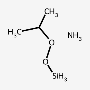 CC(C)OO[SiH3].N